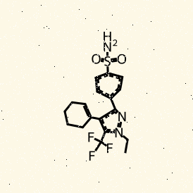 CCn1nc(-c2ccc(S(N)(=O)=O)cc2)c(C2=CCCCC2)c1C(F)(F)F